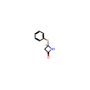 O=C1C[C@@H](Sc2ccccc2)N1